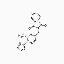 Cc1cc(CN2C(=O)c3ccccc3C2=O)cnc1-n1cccn1